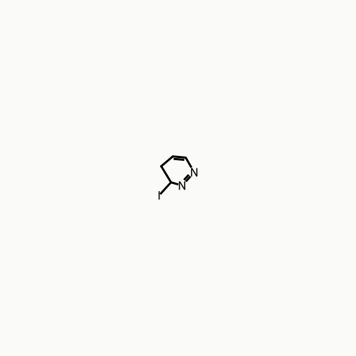 IC1CC=CN=N1